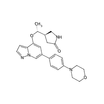 C[C@@H](Oc1cc(-c2ccc(N3CCOCC3)cc2)cn2nccc12)[C@H]1CNC(=O)C1